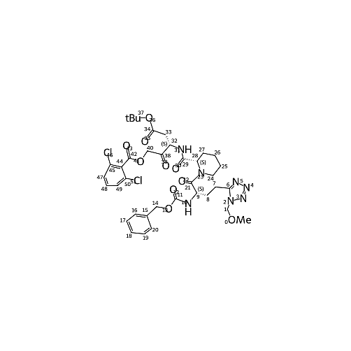 COCn1nnnc1CC[C@H](NC(=O)OCc1ccccc1)C(=O)N1CCCC[C@H]1C(=O)N[C@@H](CC(=O)OC(C)(C)C)C(=O)COC(=O)c1c(Cl)cccc1Cl